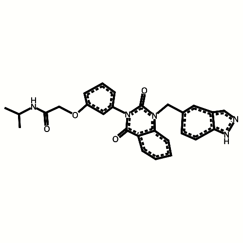 CC(C)NC(=O)COc1cccc(-n2c(=O)c3ccccc3n(Cc3ccc4[nH]ncc4c3)c2=O)c1